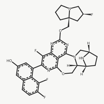 Oc1cc(-c2nc3c4c(nc(OC[C@@]56CCCN5C[C@@H](F)C6)nc4c2F)N2C[C@@H]4CC[C@@H](N4)[C@@H]2CO3)c2c(F)c(F)ccc2c1